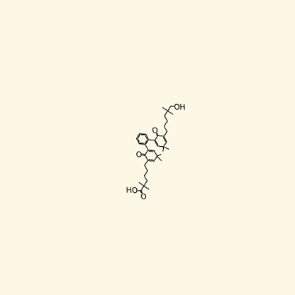 CC1(C)C=C(CCCCC(C)(C)CO)C(=O)C(c2ccccc2C2=CC(C)(C)C=C(CCCCC(C)(C)C(=O)O)C2=O)=C1